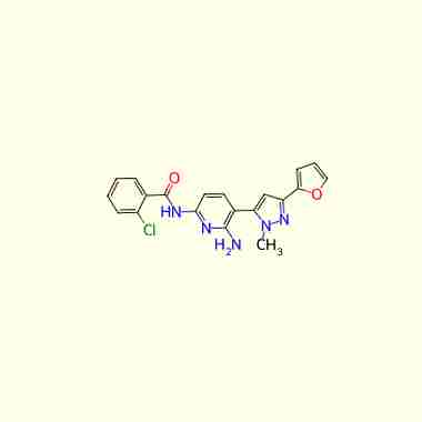 Cn1nc(-c2ccco2)cc1-c1ccc(NC(=O)c2ccccc2Cl)nc1N